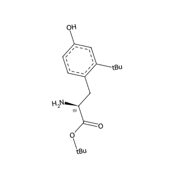 CC(C)(C)OC(=O)[C@@H](N)Cc1ccc(O)cc1C(C)(C)C